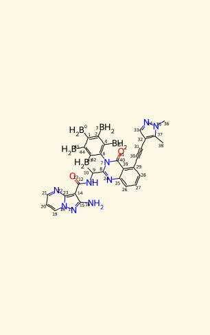 Bc1c(B)c(B)c(-n2c(C(C)NC(=O)c3c(N)nn4cccnc34)nc3cccc(C#Cc4cnn(C)c4C)c3c2=O)c(B)c1B